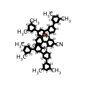 Cc1cc(C)cc(-c2ccc3c(c2)c2cc(-c4cc(C)cc(C)c4)ccc2n3-c2cc(C#N)cc(-n3c4ccc(-c5cc(C)cc(C)c5)cc4c4cc(-c5cc(C)cc(C)c5)ccc43)c2-c2cc(C(F)(F)F)ccc2C(F)(F)F)c1